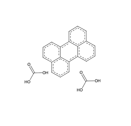 O=C(O)O.O=C(O)O.c1cc2cccc3c4cccc5cccc(c(c1)c23)c54